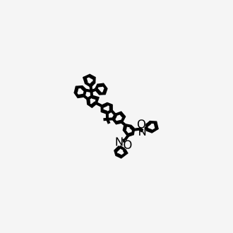 CC1(C)c2cc(-c3cc(-c4nc5ccccc5o4)cc(-c4nc5ccccc5o4)c3)ccc2-c2ccc(-c3ccc4c(c3)C(c3ccccc3)(c3ccccc3)c3ccccc3-4)cc21